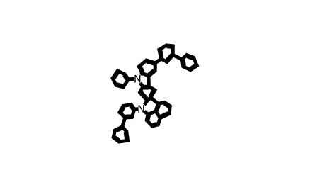 c1ccc(-c2cccc(-c3ccc4c(c3)c3cc5c(cc3n4-c3ccccc3)N(c3cccc(-c4ccccc4)c3)c3cccc4cccc-5c34)c2)cc1